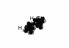 CC1(C)c2cc3ccccc3cc2N2c3cc4c(c5c3B(c3cccc1c32)N(c1cccc(-c2ccccc2)c1)c1ccc(-c2ccccc2)cc1-5)-c1ccccc1C4(C)Cc1cccc(-c2cc(-c3ccccc3)cc(N3B4c5cccc6c5N(c5cc7ccccc7cc5C6(C)C)c5cc6c(sc7ccccc76)c(c54)-c4ccccc43)c2)c1